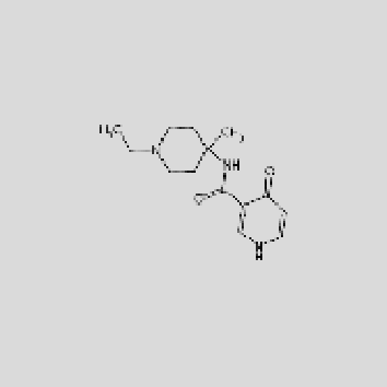 CCN1CCC(C)(NC(=O)c2c[nH]ccc2=O)CC1